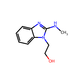 CNc1nc2ccccc2n1CCO